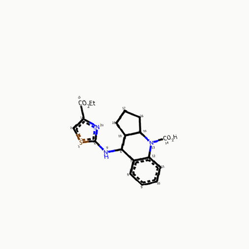 CCOC(=O)c1csc(NC2c3ccccc3N(C(=O)O)C3CCCC23)n1